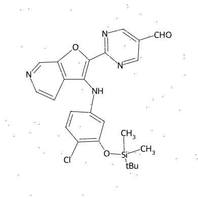 CC(C)(C)[Si](C)(C)Oc1cc(Nc2c(-c3ncc(C=O)cn3)oc3cnccc23)ccc1Cl